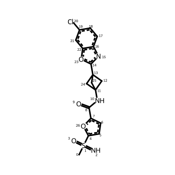 CS(=N)(=O)c1ccc(C(=O)NC23CC(c4nc5ccc(Cl)cc5o4)(C2)C3)o1